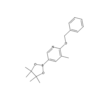 Cc1cc(B2OC(C)(C)C(C)(C)O2)cnc1OCc1ccccc1